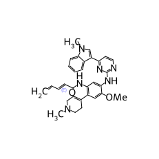 C=C/C=C/C(=O)Nc1cc(Nc2nccc(-c3cn(C)c4ccccc34)n2)c(OC)cc1C1=CCN(C)CC1